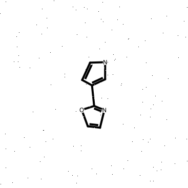 C1=CC(c2ncco2)=C[N]1